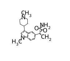 C=C(c1ccc2c(c1)c(C1CCN(C)CC1)cn2C)S(N)(=O)=O